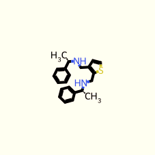 C[C@H](NCc1ccsc1CN[C@H](C)c1ccccc1)c1ccccc1